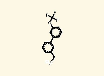 [CH2]Cc1cccc(-c2cccc(OC(F)(F)F)c2)c1